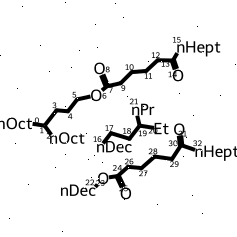 CCCCCCCCC(CCCCCCCC)CCCOC(=O)CCCCC(=O)CCCCCCC.CCCCCCCCCCCCC(CC)CCC.CCCCCCCCCCOC(=O)CCCCC(=O)CCCCCCC